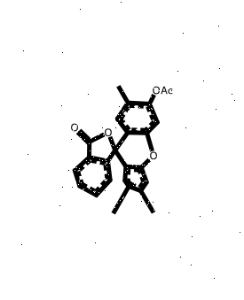 CC(=O)Oc1cc2c(cc1C)C1(OC(=O)c3ccccc31)c1cc(C)c(C)cc1O2